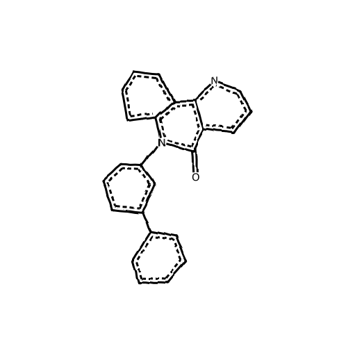 O=c1c2cccnc2c2ccccc2n1-c1cccc(-c2ccccc2)c1